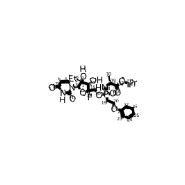 CC[C@]1(O)[C@H](n2ccc(=O)[nH]c2=O)O[C@](F)(COP(=O)(CCOc2ccccc2)N[C@@H](C)C(=O)OC(C)C)[C@H]1O